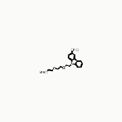 COCCOCCOCCn1c2ccccc2c2cc(C=O)ccc21